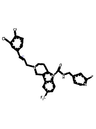 O=C(NCc1ccnc(F)c1)n1c2c(c3cc(C(F)(F)F)ccc31)CN(C/C=C/c1ccc(Cl)c(Cl)c1)CC2